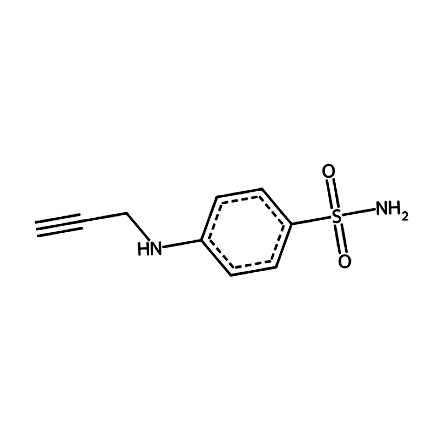 C#CCNc1ccc(S(N)(=O)=O)cc1